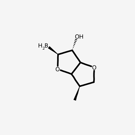 B[C@@H]1OC2C(OC[C@H]2C)[C@H]1O